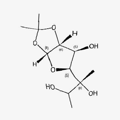 CC(O)[C@@](C)(O)[C@H]1O[C@@H]2OC(C)(C)O[C@@H]2[C@H]1O